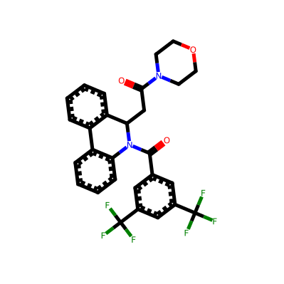 O=C(CC1c2ccccc2-c2ccccc2N1C(=O)c1cc(C(F)(F)F)cc(C(F)(F)F)c1)N1CCOCC1